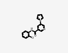 O=C(Nc1ccccc1Cl)c1cncc(-n2cccc2)c1